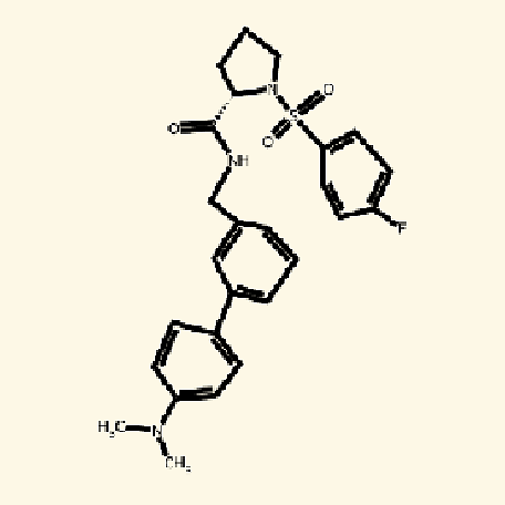 CN(C)c1ccc(-c2cccc(CNC(=O)[C@@H]3CCCN3S(=O)(=O)c3ccc(F)cc3)c2)cc1